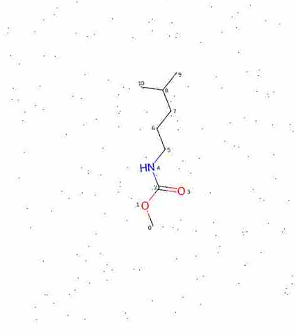 COC(=O)NCCCC(C)C